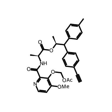 C#Cc1ccc(C(c2ccc(C)cc2)[C@H](C)OC(=O)[C@H](C)NC(=O)c2nccc(OC)c2OCOC(C)=O)cc1